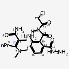 CCC/C(=C(/C)C(N)=O)N(C)C.NNC(=O)c1cccc(N)c1C(=O)N(N)C(=O)CCl